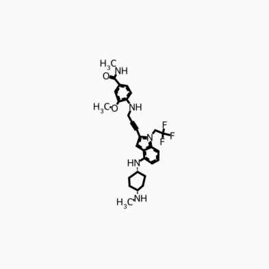 CNC(=O)c1ccc(NCC#Cc2cc3c(N[C@H]4CC[C@@H](NC)CC4)cccc3n2CC(F)(F)F)c(OC)c1